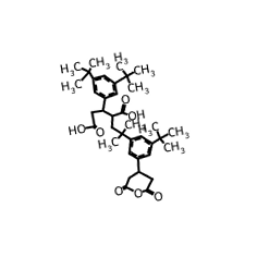 CC(C)(C)c1cc(C(CC(=O)O)C(CC(C)(C)c2cc(C3CC(=O)OC(=O)C3)cc(C(C)(C)C)c2)C(=O)O)cc(C(C)(C)C)c1